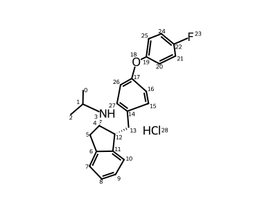 CC(C)N[C@H]1Cc2ccccc2[C@H]1Cc1ccc(Oc2ccc(F)cc2)cc1.Cl